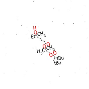 CCC(C)(O)CCCCC(=O)OC(C)(C)CCOC(=O)C(CC(C)(C)C)C(C)(C)C